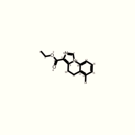 CCOC(=O)c1ncn2c1CCc1c(C)cccc1-2